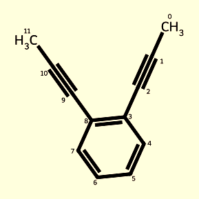 CC#Cc1[c]cccc1C#CC